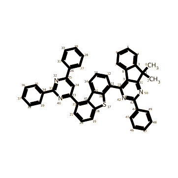 CC1(C)c2ccccc2-c2c(-c3cccc4c3sc3cccc(-c5cc(-c6ccccc6)nc(-c6ccccc6)n5)c34)nc(-c3ccccc3)nc21